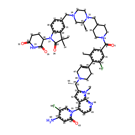 Cc1cc(C(=O)N2CCC(CN3CCN(Cc4ccc5c(c4)C(C)(C)C(=O)N5C4CCC(=O)NC4=O)C[C@@H]3C)CC2)cc(F)c1C1=CCN([C@@H](C)c2cc3c(-n4cc(F)c(N)cc4=O)ccnc3n2C)CC1